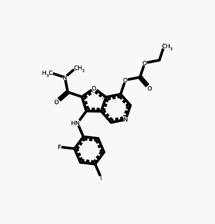 CCOC(=O)Oc1cncc2c(Nc3ccc(I)cc3F)c(C(=O)N(C)C)oc12